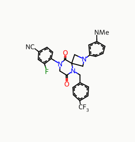 CNc1cccc(N2CC3(C2)C(=O)N(c2ccc(C#N)cc2F)CC(=O)N3Cc2ccc(C(F)(F)F)cc2)c1